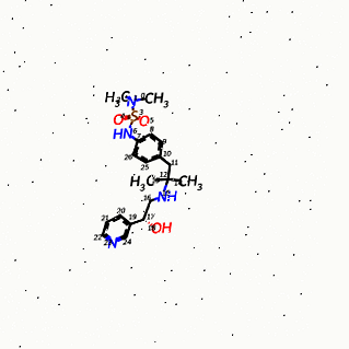 CN(C)S(=O)(=O)Nc1ccc(CC(C)(C)NC[C@H](O)c2cccnc2)cc1